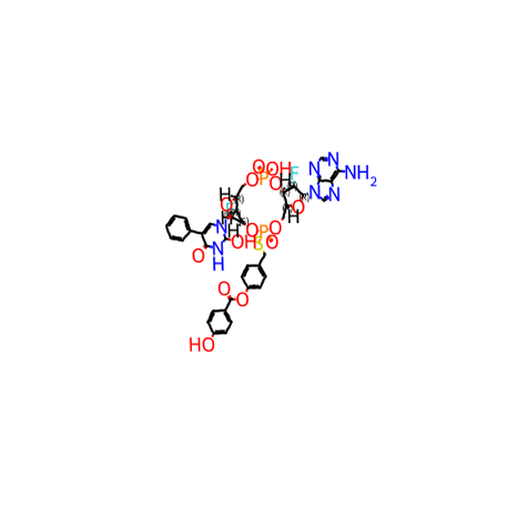 Nc1ncnc2c1ncn2[C@@H]1O[C@@H]2COP(=O)(SCc3ccc(OC(=O)c4ccc(O)cc4)cc3)O[C@@H]3[C@H](F)[C@@H](COP(=O)(O)O[C@H]2[C@H]1F)O[C@H]3N1C=C(c2ccccc2)C(=O)NC1O